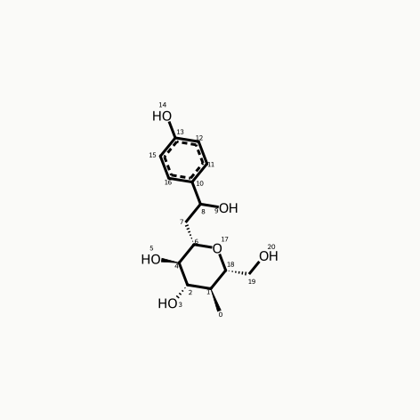 C[C@H]1[C@H](O)[C@@H](O)[C@H](CC(O)c2ccc(O)cc2)O[C@@H]1CO